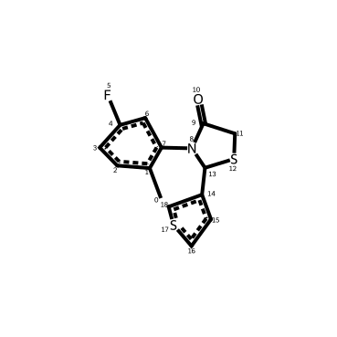 Cc1ccc(F)cc1N1C(=O)CSC1c1ccsc1